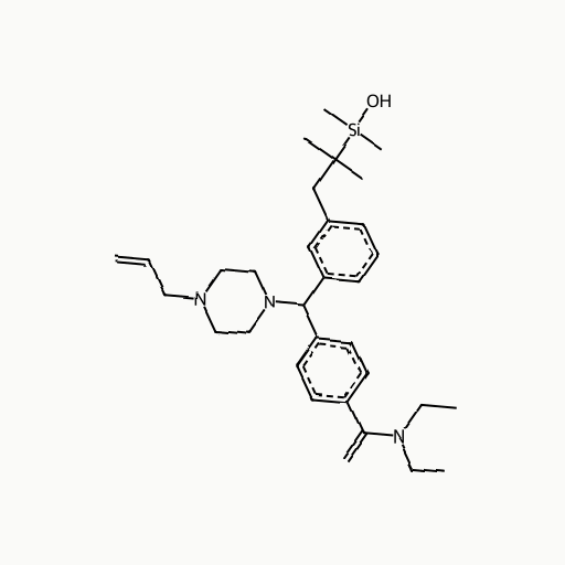 C=CCN1CCN(C(c2ccc(C(=C)N(CC)CC)cc2)c2cccc(CC(C)(C)[Si](C)(C)O)c2)CC1